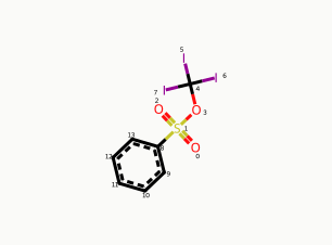 O=S(=O)(OC(I)(I)I)c1ccccc1